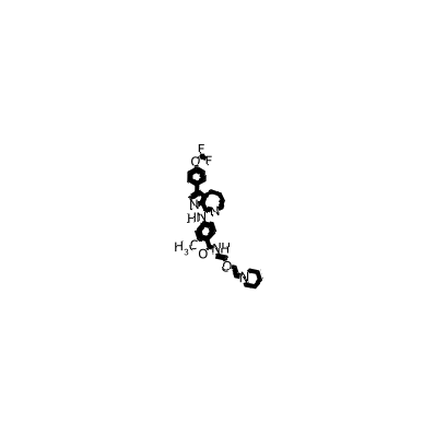 Cc1cc(N/C2=N/C=C\CCC3C(c4ccc(OC(F)F)cc4)=CN=C23)ccc1C(=O)NCCOCCN1CCCCC1